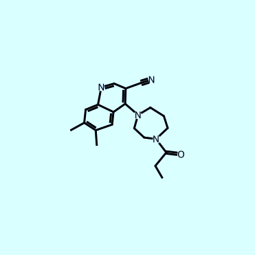 CCC(=O)N1CCCN(c2c(C#N)cnc3cc(C)c(C)cc23)CC1